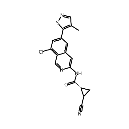 Cc1cnsc1-c1cc(Cl)c2cnc(NC(=O)[C@@H]3CC3C#N)cc2c1